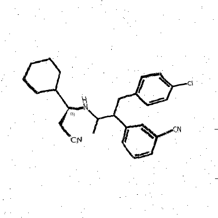 CC(N[C@@H](CC#N)C1CCCCC1)C(Cc1ccc(Cl)cc1)c1cccc(C#N)c1